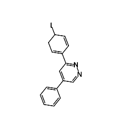 IC1C=CC(c2cc(-c3ccccc3)cnn2)=CC1